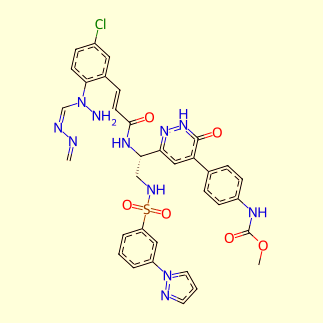 C=N/N=C\N(N)c1ccc(Cl)cc1/C=C/C(=O)N[C@@H](CNS(=O)(=O)c1cccc(-n2cccn2)c1)c1cc(-c2ccc(NC(=O)OC)cc2)c(=O)[nH]n1